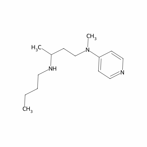 CCCCNC(C)CCN(C)c1ccncc1